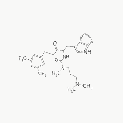 CN(C)CCCN(C)C(=O)NC(Cc1c[nH]c2ccccc12)C(=O)CCc1cc(C(F)(F)F)cc(C(F)(F)F)c1